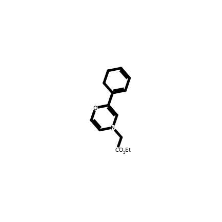 CCOC(=O)CN1C=COC(C2=CC=CCC2)=C1